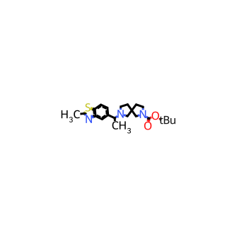 Cc1nc2cc(C(C)N3CCC4(CCN(C(=O)OC(C)(C)C)C4)C3)ccc2s1